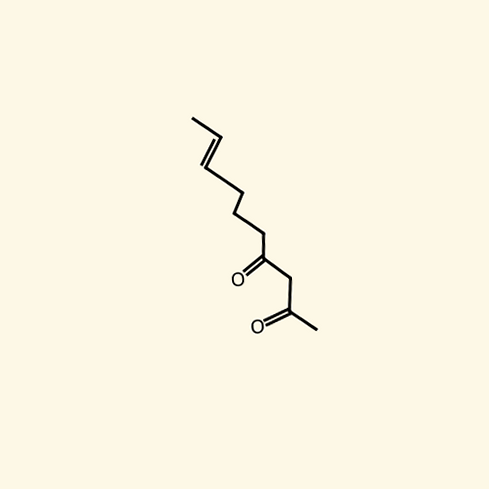 CC=CCCCC(=O)CC(C)=O